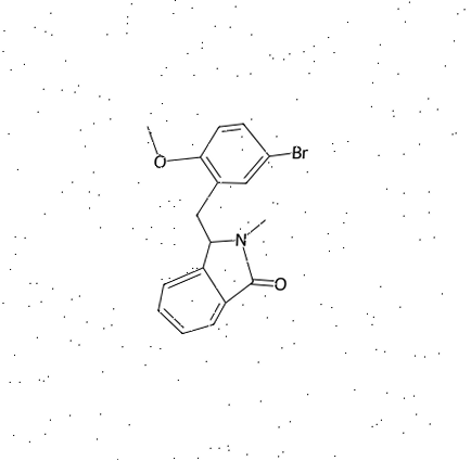 COc1ccc(Br)cc1CC1c2ccccc2C(=O)N1C